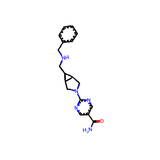 NC(=O)c1cnc(N2CC3C(CNCc4ccccc4)C3C2)nc1